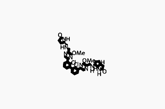 COc1nc(-c2cccc(-c3cccc(-c4cnc(CN[C@@H]5CC[C@@H]6CC(=O)N[C@@H]65)c(OC)n4)c3Cl)c2Cl)cnc1CNC[C@@H]1CCC(=O)N1